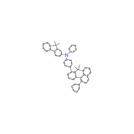 CC1(C)c2ccccc2-c2ccc(N(c3ccccc3)c3ccc(-c4cccc5c4C(C)(C)c4cccc6ccc(-c7ccccc7)c-5c46)cc3)cc21